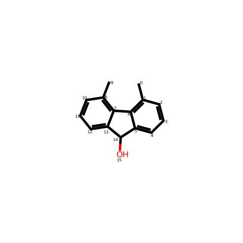 Cc1cccc2c1-c1c(C)cccc1C2O